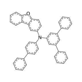 c1ccc(-c2ccc(N(c3cc(-c4ccccc4)cc(-c4ccccc4)c3)c3ccc4oc5ccccc5c4c3)cc2)cc1